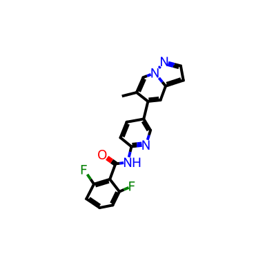 Cc1cn2nccc2cc1-c1ccc(NC(=O)c2c(F)cccc2F)nc1